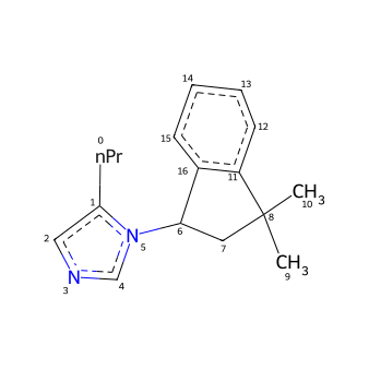 CCCc1cncn1C1CC(C)(C)c2ccccc21